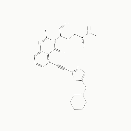 CNC(=O)CCC(C=O)n1c(C)nc2cccc(C#Cc3ncc(CN4CCCCC4)s3)c2c1=O